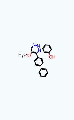 COc1cnnnc1-c1ccccc1.Oc1ccccc1.c1ccccc1